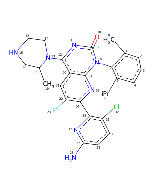 Cc1cccc(C(C)C)c1-n1c(=O)nc(N2CCNCC2C)c2cc(F)c(-c3nc(N)ccc3Cl)nc21